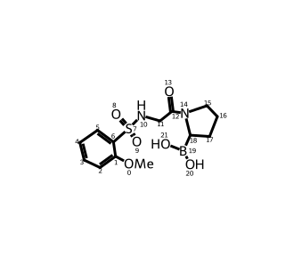 COc1ccccc1S(=O)(=O)NCC(=O)N1CCCC1B(O)O